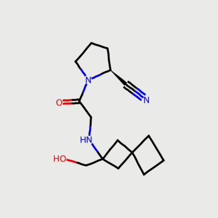 N#C[C@@H]1CCCN1C(=O)CNC1(CO)CC2(CCC2)C1